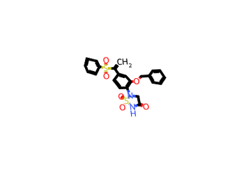 C=C(c1ccc(N2CC(=O)NS2(=O)=O)c(OCc2ccccc2)c1)S(=O)(=O)c1ccccc1